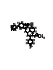 COCC(C(CCCc1c[nH]c2ccc(-n3cnnc3)cc12)c1ccc(F)cc1)N1CCNCC1